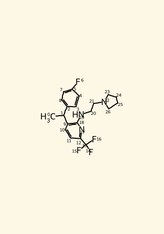 CC(c1ccc(F)cc1)c1ccc(C(F)(F)F)nc1NCCN1CCCC1